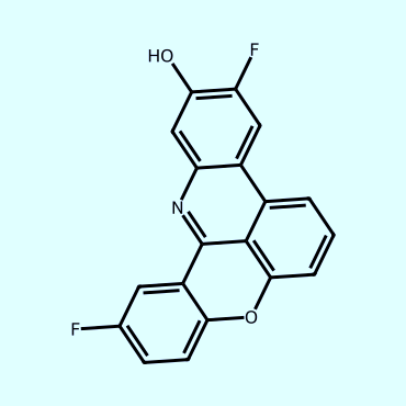 Oc1cc2nc3c4c(cccc4c2cc1F)Oc1ccc(F)cc1-3